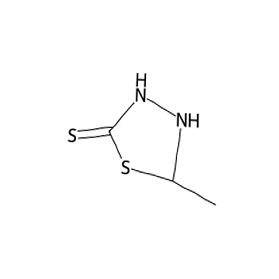 CC1NNC(=S)S1